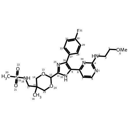 COCCNc1nccc(-c2[nH]c(C3OCC(C)(CNS(C)(=O)=O)CO3)nc2-c2ccc(F)cc2)n1